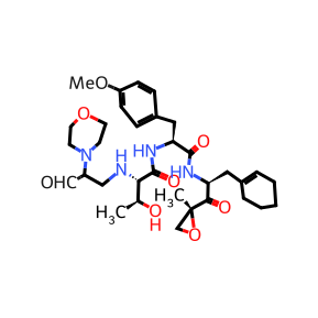 COc1ccc(C[C@H](NC(=O)[C@@H](NCC(C=O)N2CCOCC2)[C@H](C)O)C(=O)N[C@@H](CC2=CCCCC2)C(=O)[C@@]2(C)CO2)cc1